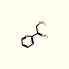 C=C(C[N+](=O)[O-])c1ccccn1